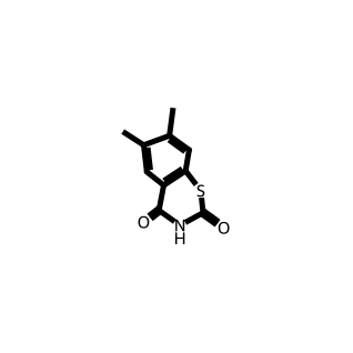 Cc1cc2sc(=O)[nH]c(=O)c2cc1C